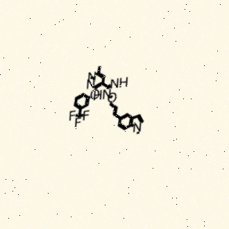 Cc1cc(C(=N)NOCC=Cc2ccc3c(ccn3C)c2)c(Oc2cccc(C(F)(F)F)c2)nn1